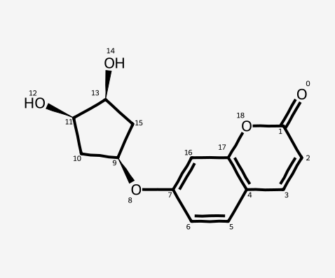 O=c1ccc2ccc(O[C@H]3C[C@@H](O)[C@@H](O)C3)cc2o1